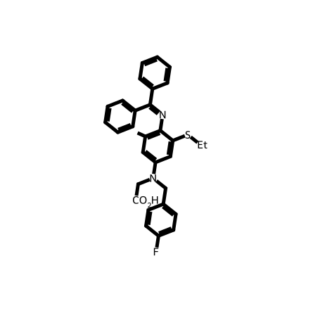 CCSc1cc(N(CC(=O)O)Cc2ccc(F)cc2)cc(C)c1N=C(c1ccccc1)c1ccccc1